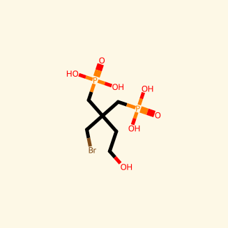 O=P(O)(O)CC(CBr)(CCO)CP(=O)(O)O